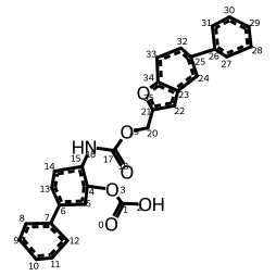 O=C(O)Oc1cc(-c2ccccc2)ccc1NC(=O)OCc1cc2cc(-c3ccccc3)ccc2o1